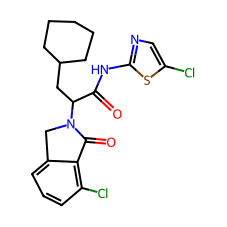 O=C(Nc1ncc(Cl)s1)C(CC1CCCCC1)N1Cc2cccc(Cl)c2C1=O